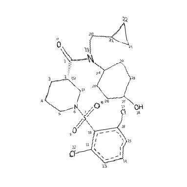 O=C([C@H]1CCCN(S(=O)(=O)c2c(Cl)cccc2Cl)C1)N(CC1CC1)C1CCC(O)CC1